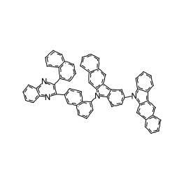 c1ccc2cc3c(cc2c1)c1ccccc1n3-c1ccc2c(c1)c1cc3ccccc3cc1n2-c1cccc2cc(-c3nc4ccccc4nc3-c3cccc4ccccc34)ccc12